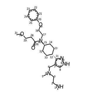 CNCCN(C)Cc1c[nH]nc1[C@H]1CC[C@H](N(CCOc2ccccc2)C(=O)CCOC)CC1